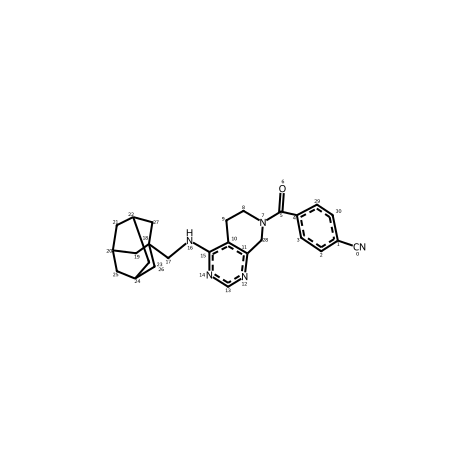 N#Cc1ccc(C(=O)N2CCc3c(ncnc3NCC34CC5CC(CC(C5)C3)C4)C2)cc1